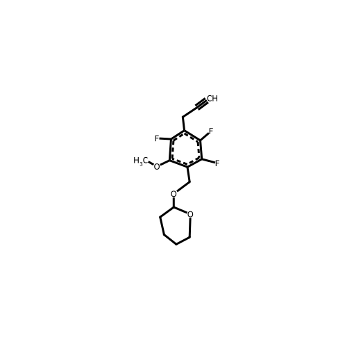 C#CCc1c(F)c(F)c(COC2CCCCO2)c(OC)c1F